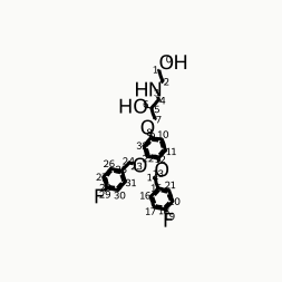 OCCNC[C@@H](O)COc1ccc(OCc2ccc(F)cc2)c(OCc2ccc(F)cc2)c1